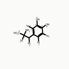 [2H]c1c([2H])c(C([2H])C([2H])(N)C(=O)O)c([2H])c(O)c1O